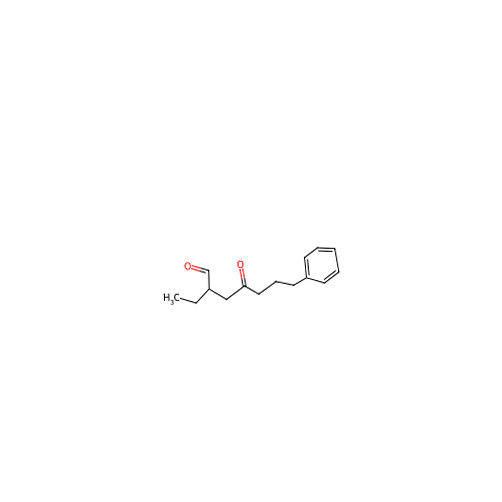 CCC(C=O)CC(=O)CCCc1ccccc1